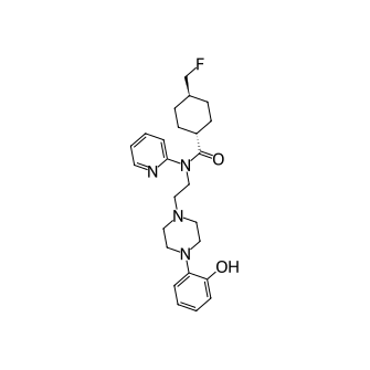 O=C([C@H]1CC[C@H](CF)CC1)N(CCN1CCN(c2ccccc2O)CC1)c1ccccn1